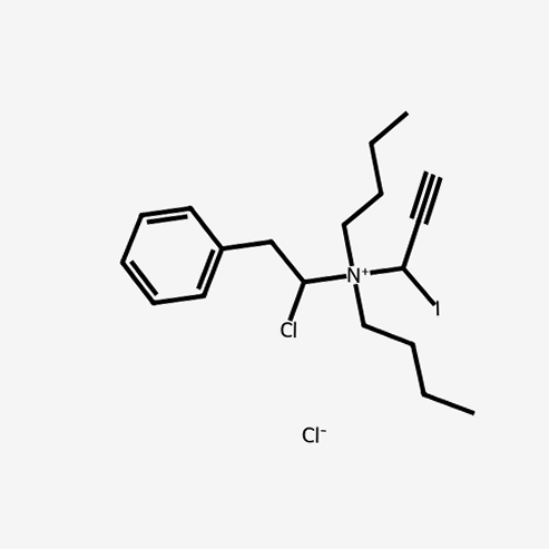 C#CC(I)[N+](CCCC)(CCCC)C(Cl)Cc1ccccc1.[Cl-]